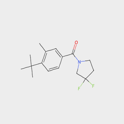 Cc1cc(C(=O)N2CCC(F)(F)C2)ccc1C(C)(C)C